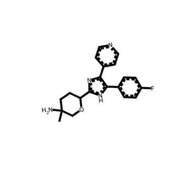 CC1(N)CCC(c2nc(-c3ccncc3)c(-c3ccc(F)cc3)[nH]2)OC1